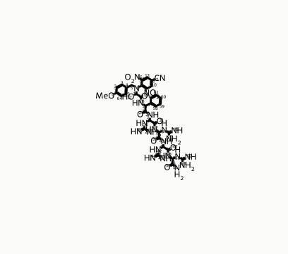 COc1ccc(CN(c2c([N+](=O)[O-])cc(C#N)cc2[N+](=O)[O-])C(O)C(=O)NC(C(=O)NC(NC(=N)N)C(=O)NC(NC(=N)N)C(=O)NC(NC(=N)N)C(=O)NC(NC(=N)N)C(N)=O)c2ccccc2)cc1